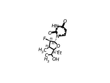 CC[C@@]1(C(C)O)O[C@@H](n2ccc(=O)[nH]c2=O)[C@H](F)[C@@H]1C